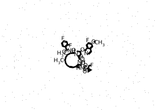 COc1cc2ccnc(O[C@@H]3C[C@H]4C(=O)NC5(C(=O)NS(=O)(=O)C6(CF)CC6)CC5/C=C\CC[C@@H](C)C[C@@H](C)[C@H](NC(=O)c5ccc(F)cc5F)C(=O)N4C3)c2cc1F